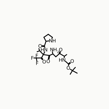 CC(NC(=O)OC(C)(C)C)C(=O)CC(N)C(=O)C(NC(=O)C1CCCN1)(C(=O)C(F)(F)F)C(C)C